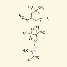 C/C(=C\CCN(C(=O)NCC1(C)CC(N=C=O)CC(C)(C)C1)C(C)(C)C)C(=O)O